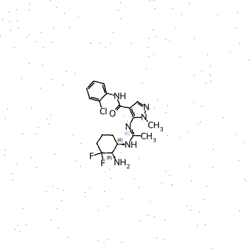 C/C(=N\c1c(C(=O)Nc2ccccc2Cl)cnn1C)N[C@@H]1CCCC(F)(F)[C@@H]1N